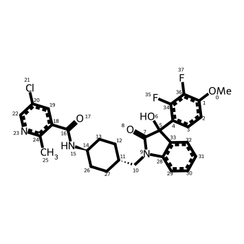 COc1ccc(C2(O)C(=O)N(C[C@H]3CC[C@H](NC(=O)c4cc(Cl)cnc4C)CC3)c3ccccc32)c(F)c1F